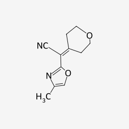 Cc1coc(C(C#N)=C2CCOCC2)n1